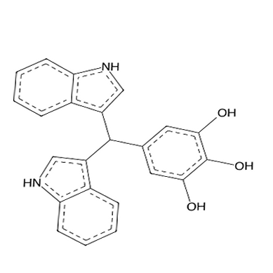 Oc1cc(C(c2c[nH]c3ccccc23)c2c[nH]c3ccccc23)cc(O)c1O